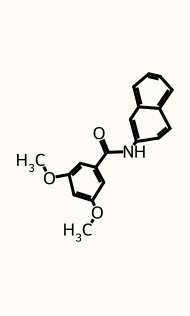 COc1cc(OC)cc(C(=O)Nc2ccc3ccccc3c2)c1